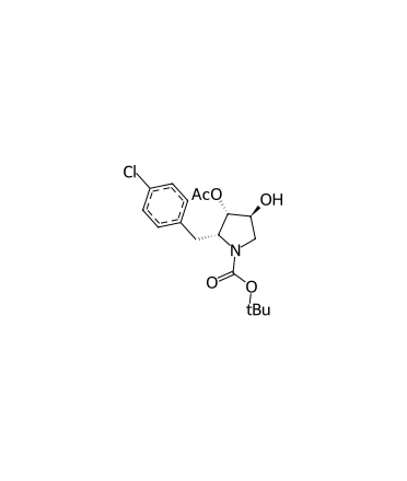 CC(=O)O[C@H]1[C@@H](Cc2ccc(Cl)cc2)N(C(=O)OC(C)(C)C)C[C@@H]1O